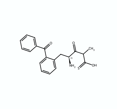 CC(C(=O)[C@@H](N)Cc1ccccc1C(=O)c1ccccc1)C(O)=S